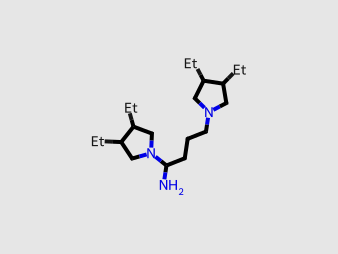 CCC1CN(CCCC(N)N2CC(CC)C(CC)C2)CC1CC